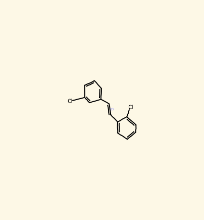 Clc1cccc(/C=C/c2ccccc2Cl)c1